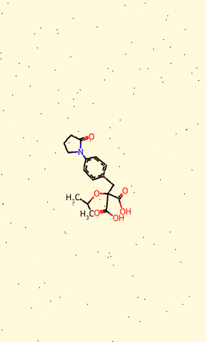 CC(C)OC(Cc1ccc(N2CCCC2=O)cc1)(C(=O)O)C(=O)O